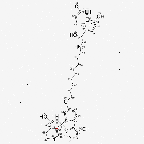 O=C(O)NC(c1cccc(Cl)c1)(c1cccc(OCCCCCCCCCNCC(O)c2ccc(O)c3[nH]c(=O)ccc23)c1)C1CN2CCC1CC2